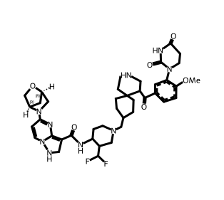 COc1ccc(C(=O)C2CNCCC23CCC(CN2CCC(NC(=O)C4=C5N=C(N6C[C@H]7C[C@@H]6CO7)C=CN5NC4)C(C(F)F)C2)CC3)cc1N1CCC(=O)NC1=O